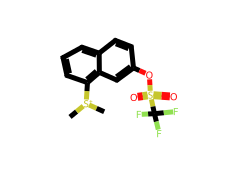 C[S+](C)c1cccc2ccc(OS(=O)(=O)C(F)(F)F)cc12